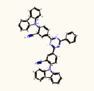 N#Cc1cc(-c2nc(-c3ccccc3)nc(-c3ccc(-n4c5ccccc5c5ccccc54)c(C#N)c3)n2)ccc1-n1c2ccccc2c2ccccc21